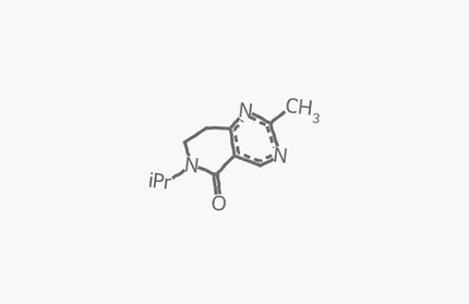 Cc1ncc2c(n1)CCN(C(C)C)C2=O